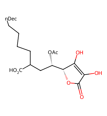 CCCCCCCCCCCCCCC(C[C@H](OC(C)=O)[C@H]1OC(=O)C(O)=C1O)C(=O)O